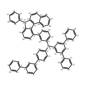 c1ccc(-c2cccc(-c3ccc(N(c4cc(-c5ccccc5)cc(-c5ccccc5)c4)c4cccc(-c5cccc6c5c5c7ccccc7ccc5n6-c5ccccc5)c4)cc3)c2)cc1